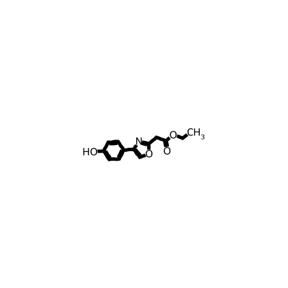 CCOC(=O)Cc1nc(-c2ccc(O)cc2)co1